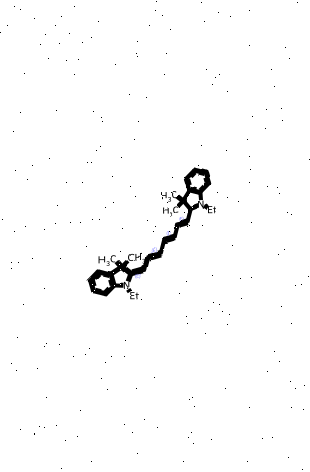 CCN1/C(=C/C=C/C=C/C=C/C2N(CC)c3ccccc3C2(C)C)C(C)(C)c2ccccc21